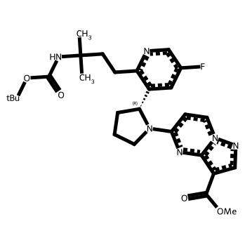 COC(=O)c1cnn2ccc(N3CCC[C@@H]3c3cc(F)cnc3CCC(C)(C)NC(=O)OC(C)(C)C)nc12